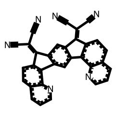 N#CC(C#N)=C1c2cc3c(cc2-c2c1ccc1cccnc21)-c1c(ccc2cccnc12)C3=C(C#N)C#N